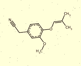 COc1cc(CC#N)ccc1OC=C(C)C